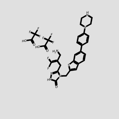 NCC(Cc1n[nH]c(=O)n1Cc1cc2ccc(-c3ccc(N4CCNCC4)cc3)cc2s1)=C(F)F.O=C(O)C(F)(F)F.O=C(O)C(F)(F)F